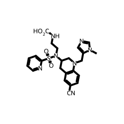 Cn1cncc1CN1CC(N(CCNC(=O)O)S(=O)(=O)c2ccccn2)Cc2cc(C#N)ccc21